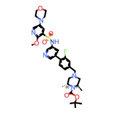 COc1ncc(N2CCOCC2)cc1S(=O)(=O)Nc1cncc(-c2ccc(CN3C[C@@H](C)N(C(=O)OC(C)(C)C)[C@H](C)C3)cc2F)c1